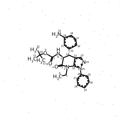 CCN1C(=O)[C@@H](NC(=O)OC(C)(C)C)[C@H](c2cccc(N)c2)c2cnn(-c3ccccc3)c21